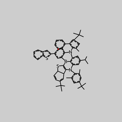 Cc1cc(C(C)(C)C)cc(C)c1N1C2=C(SC3C=CC(C(C)(C)C)=CC23)B2c3cc(-c4cc5ccccc5s4)ccc3N(c3c(C)cc(C(C)(C)C)cc3-c3ccccc3)c3cc(C(C)C)cc1c32